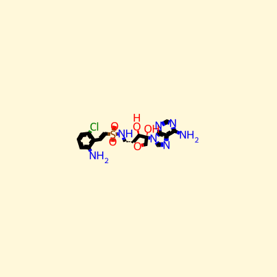 Nc1cccc(Cl)c1/C=C/S(=O)(=O)NC[C@H]1OC[C@](O)(n2cnc3c(N)ncnc32)[C@@H]1O